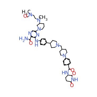 CN(C=O)CCN(C)C1CCCN(c2cnc(C(N)=O)c(Nc3ccc(C4CCN(CC5CCN(c6ccc(C(=O)NC7CCC(=O)NC7=O)cc6)CC5)CC4)cc3)n2)C1